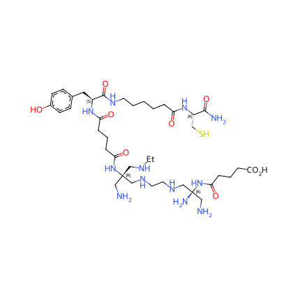 CCNC[C@](CN)(CNCCNC[C@@](N)(CN)NC(=O)CCCC(=O)O)NC(=O)CCCC(=O)N[C@@H](Cc1ccc(O)cc1)C(=O)NCCCCCC(=O)N[C@@H](CS)C(N)=O